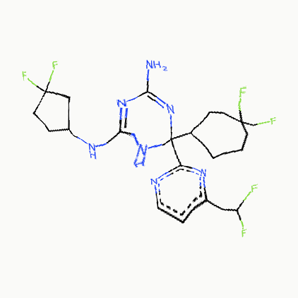 NC1=NC(c2nccc(C(F)F)n2)(C2CCC(F)(F)C2)NC(NC2CCC(F)(F)C2)=N1